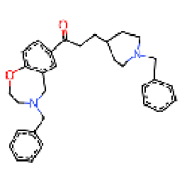 O=C(CCC1CCN(Cc2ccccc2)CC1)c1ccc2c(c1)CN(Cc1ccccc1)CCO2